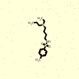 CCCN(CC)CCCCNS(=O)(=O)c1ccc(C)cc1